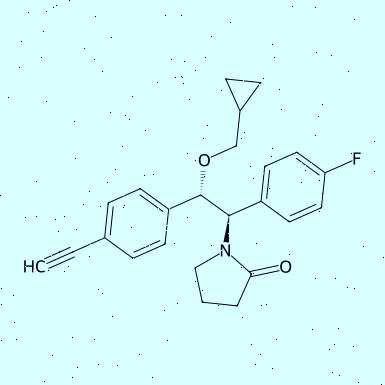 C#Cc1ccc([C@H](OCC2CC2)[C@@H](c2ccc(F)cc2)N2CCCC2=O)cc1